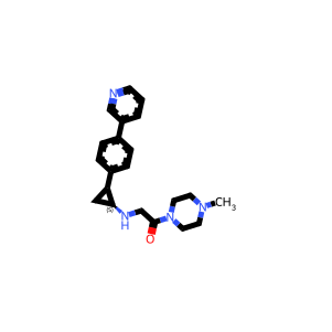 CN1CCN(C(=O)CN[C@H]2CC2c2ccc(-c3cccnc3)cc2)CC1